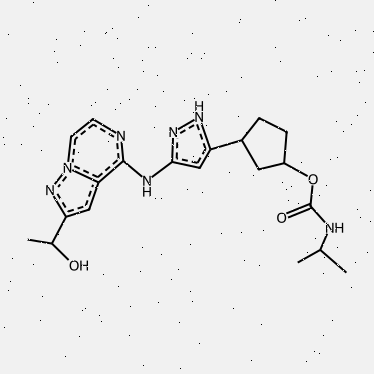 CC(C)NC(=O)OC1CCC(c2cc(Nc3nccn4nc(C(C)O)cc34)n[nH]2)C1